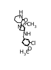 CC[N+]1(C2CCCCNC2=O)C=C(NCc2ccc(OC)c(Cl)c2)C=N1